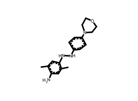 Cc1cc(NNc2ccc(N3CCOCC3)cc2)c(C)cc1N